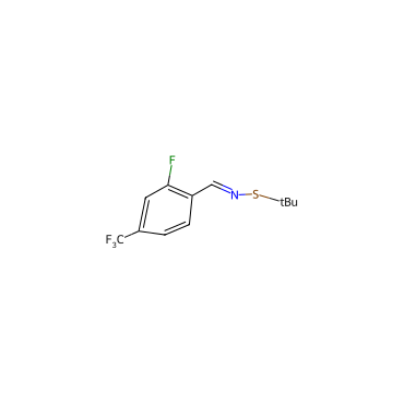 CC(C)(C)S/N=C/c1ccc(C(F)(F)F)cc1F